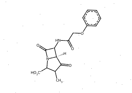 CC1C(=O)[C@@H]2C(NC(=O)COc3ccccc3)C(=O)N2C1C(=O)O